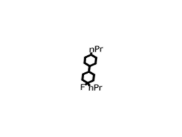 CCCC1CCC(C2CCC(F)(CCC)CC2)CC1